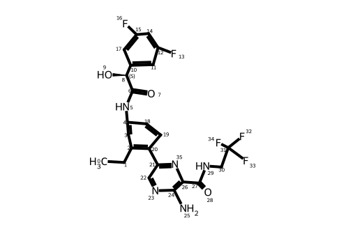 CCc1cc(NC(=O)[C@@H](O)c2cc(F)cc(F)c2)ccc1-c1cnc(N)c(C(=O)NCC(F)(F)F)n1